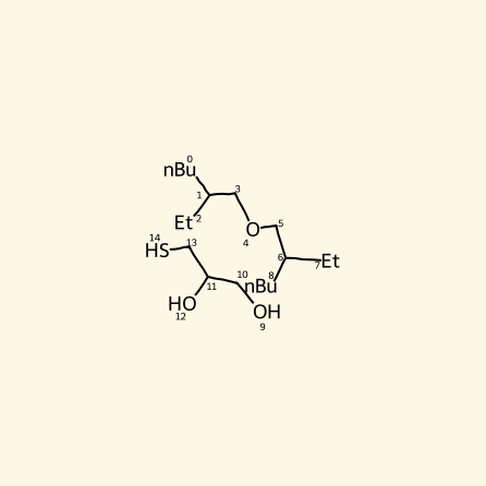 CCCCC(CC)COCC(CC)CCCC.OCC(O)CS